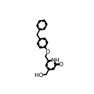 O=c1cc(CO)cc(COc2ccc(Cc3ccccc3)cc2)[nH]1